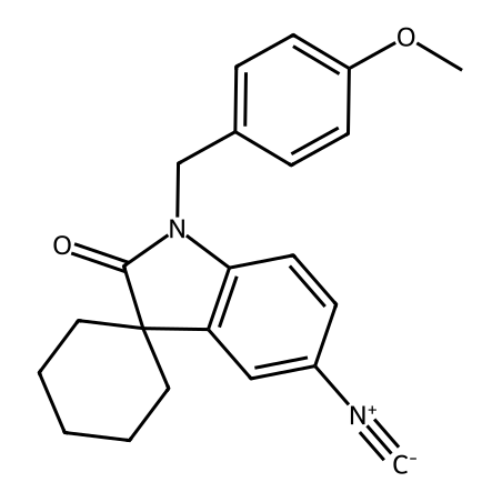 [C-]#[N+]c1ccc2c(c1)C1(CCCCC1)C(=O)N2Cc1ccc(OC)cc1